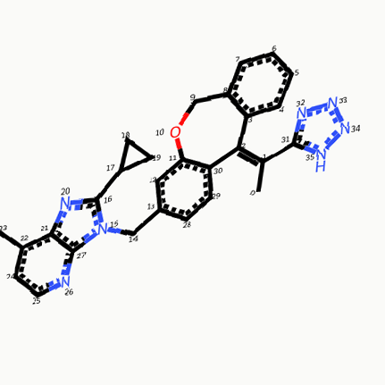 CC(=C1c2ccccc2COc2cc(Cn3c(C4CC4)nc4c(C)ccnc43)ccc21)c1nnn[nH]1